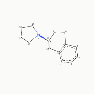 c1ccc2c(c1)CC[C@H](N1CCCC1)C2